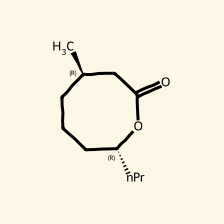 CCC[C@@H]1CCC[C@@H](C)CC(=O)O1